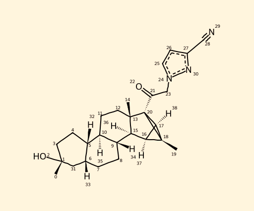 C[C@@]1(O)CC[C@H]2[C@H](CC[C@@H]3[C@@H]2CC[C@@]2(C)[C@H]3[C@H]3[C@@H]4[C@@]3(C)[C@]42C(=O)Cn2ccc(C#N)n2)C1